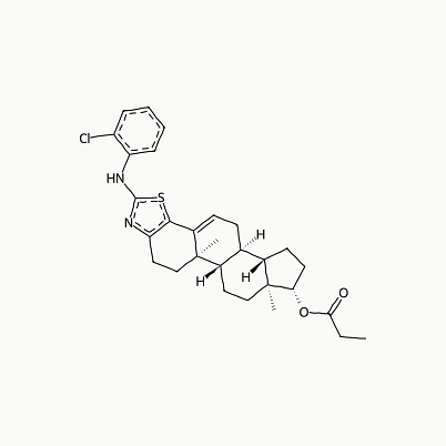 CCC(=O)O[C@H]1CC[C@H]2[C@@H]3CC=C4c5sc(Nc6ccccc6Cl)nc5CC[C@]4(C)[C@H]3CC[C@]12C